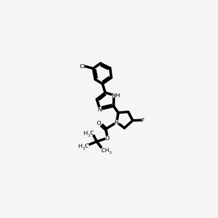 CC(C)(C)OC(=O)N1CC(F)CC1c1ncc(-c2cccc(Cl)c2)[nH]1